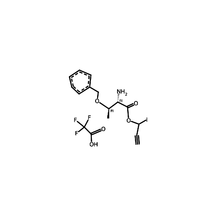 C#CC(I)OC(=O)[C@@H](N)[C@@H](C)OCc1ccccc1.O=C(O)C(F)(F)F